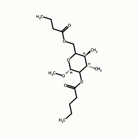 CCCCC(=O)OC1[C@H](OC)OC(COC(=O)CCC)[C@@H](C)[C@@H]1C